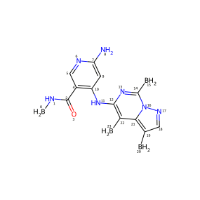 BNC(=O)c1cnc(N)cc1Nc1nc(B)n2ncc(B)c2c1B